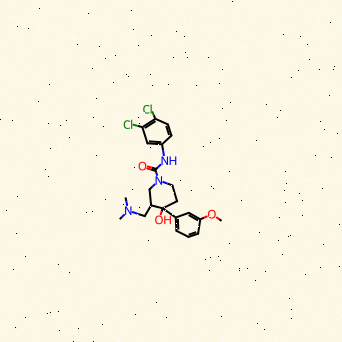 COc1cccc(C2(O)CCN(C(=O)Nc3ccc(Cl)c(Cl)c3)CC2CN(C)C)c1